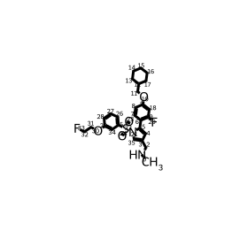 CNCc1cc(-c2ccc(OCC3CCCCC3)cc2F)n(S(=O)(=O)c2cccc(OCCF)c2)c1